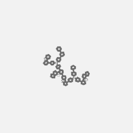 c1ccc(-c2ccc(N(c3ccc(-c4cccc5oc6c7ccccc7ccc6c45)cc3)c3ccc(-c4cccc5sc6cc(-c7ccc(-c8ccc(N(c9ccc(-c%10cccc(-c%11ccccc%11)c%10)cc9)c9ccc(-c%10cccc%11sc%12ccccc%12c%10%11)cc9)cc8)c8c7oc7c9ccccc9ccc78)ccc6c45)cc3)cc2)cc1